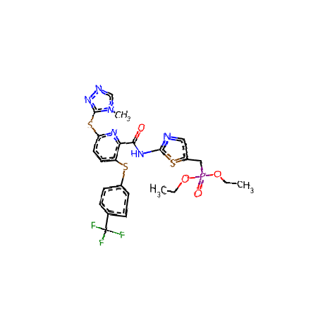 CCOP(=O)(Cc1cnc(NC(=O)c2nc(Sc3nncn3C)ccc2Sc2ccc(C(F)(F)F)cc2)s1)OCC